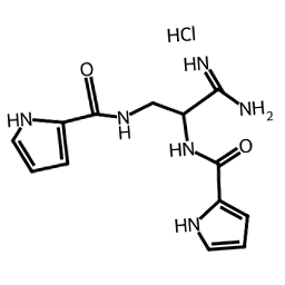 Cl.N=C(N)C(CNC(=O)c1ccc[nH]1)NC(=O)c1ccc[nH]1